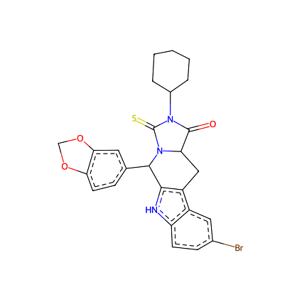 O=C1C2Cc3c([nH]c4ccc(Br)cc34)C(c3ccc4c(c3)OCO4)N2C(=S)N1C1CCCCC1